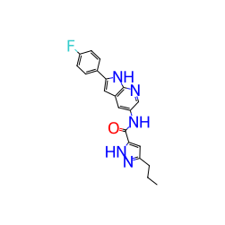 CCCc1cc(C(=O)Nc2cnc3[nH]c(-c4ccc(F)cc4)cc3c2)[nH]n1